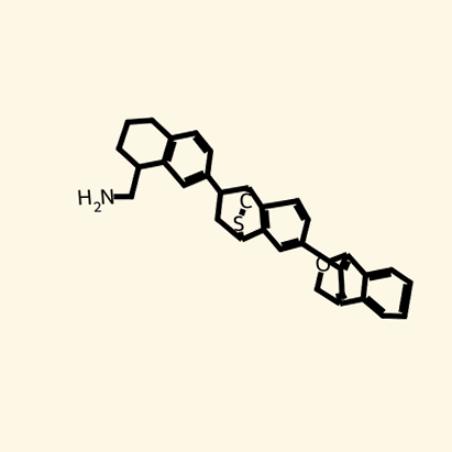 NCC1CCCc2ccc(C3CC4SCC3c3ccc(-c5cc6c7ccccc7c5OC6)cc34)cc21